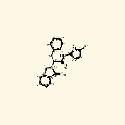 O=C(Nc1nc(F)cs1)[C@H](Cc1ccccc1)N1Cc2ccccc2C1=O